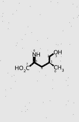 C[C@H](CO)CC(=N)C(=O)O